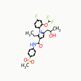 CCc1c(C(=O)Nc2ccc(S(C)(=O)=O)cc2)cc(CC(C)O)n1-c1ccc(F)cc1OC(F)F